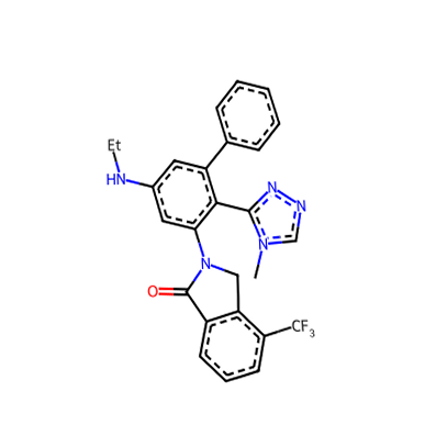 CCNc1cc(-c2ccccc2)c(-c2nncn2C)c(N2Cc3c(cccc3C(F)(F)F)C2=O)c1